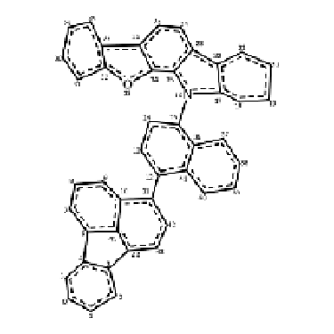 c1ccc2c(c1)-c1cccc3c(-c4ccc(-n5c6ccccc6c6ccc7c8ccccc8oc7c65)c5ccccc45)ccc-2c13